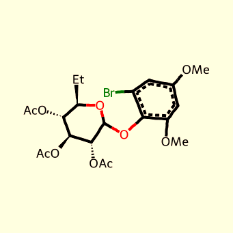 CC[C@H]1OC(Oc2c(Br)cc(OC)cc2OC)[C@H](OC(C)=O)[C@@H](OC(C)=O)[C@@H]1OC(C)=O